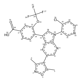 Cc1noc(C)c1-c1cnc2c(c1)c(-c1ccc(C(=O)O)cc1OC(F)(F)F)cn2-c1cnccc1Cl